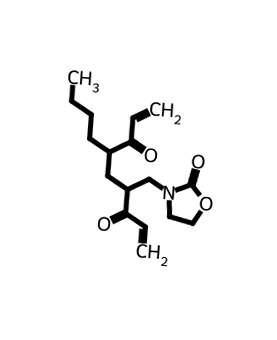 C=CC(=O)C(CCCC)CC(CN1CCOC1=O)C(=O)C=C